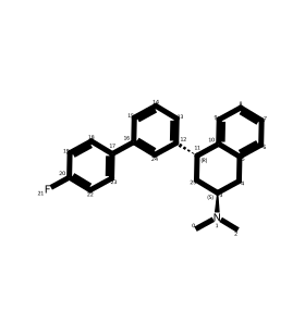 CN(C)[C@@H]1Cc2ccccc2[C@@H](c2cccc(-c3ccc(F)cc3)c2)C1